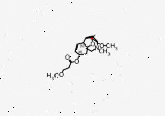 COCCC(=O)O[C@H]1C=C[C@@]23CCN(C)Cc4ccc(OC)c(c42)OC3C1